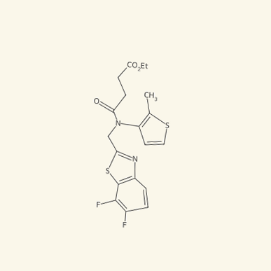 CCOC(=O)CCC(=O)N(Cc1nc2ccc(F)c(F)c2s1)c1ccsc1C